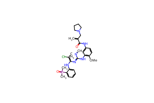 C=N/C(=N\C(Nc1ccccc1P(C)(C)=O)=C(/C)Cl)Nc1cc(NC(=O)C(=C)CN2CCCC2)ccc1OC